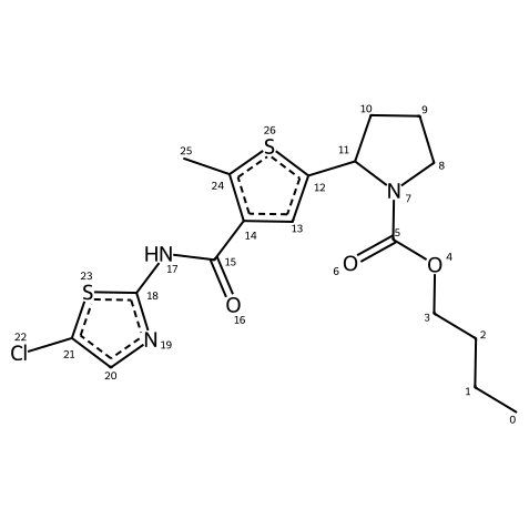 CCCCOC(=O)N1CCCC1c1cc(C(=O)Nc2ncc(Cl)s2)c(C)s1